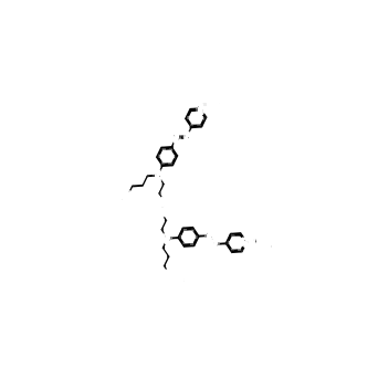 CCCCN(CCSSCCN(CCCC)c1ccc(/N=N/c2cc[n+](C)cc2)cc1)c1ccc(/N=N/c2cc[n+](C)cc2)cc1